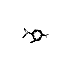 CB(C)c1ccc(F)cc1C